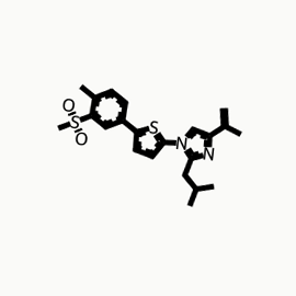 C=C(C)c1cn(-c2ccc(-c3ccc(C)c(S(C)(=O)=O)c3)s2)c(CC(C)C)n1